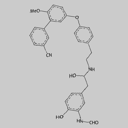 COc1ccc(Oc2ccc(CCNC(O)Cc3ccc(O)c(NC=O)c3)cc2)cc1-c1cccc(C#N)c1